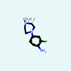 C[C@@H]1CN(c2ccc(N)c(F)c2)CCN1C(=O)O